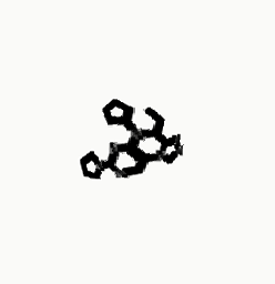 CCC1c2nncn2-c2cnc(N3CCCC3)nc2N1C1CCCC1